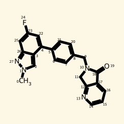 Cn1cc2c(-c3ccc(CN4Cc5ncccc5C4=O)cc3)cc(F)cc2n1